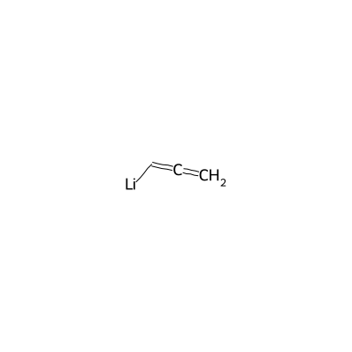 [Li][CH]=C=C